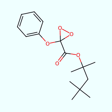 CC(C)(C)CC(C)(C)OC(=O)C1(Oc2ccccc2)OO1